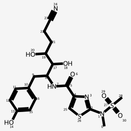 CN(c1nc(C(=O)NC(Cc2ccc(O)cc2)C(O)C(O)CCC#N)cs1)S(C)(=O)=O